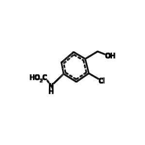 O=C(O)Nc1ccc(CO)c(Cl)c1